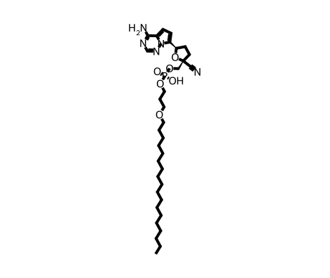 CCCCCCCCCCCCCCCCCCOCCCOP(=O)(O)OC[C@]1(C#N)CC[C@H](c2ccc3c(N)ncnn23)O1